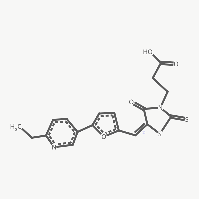 CCc1ccc(-c2ccc(/C=C3/SC(=S)N(CCC(=O)O)C3=O)o2)cn1